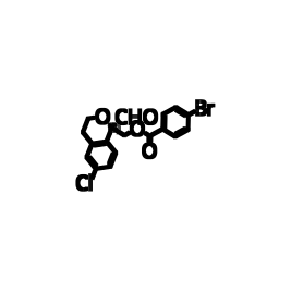 O=C[C@]1(COC(=O)c2ccc(Br)cc2)OCCc2cc(Cl)ccc21